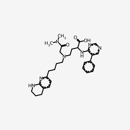 CN(C)C(=O)CN(CCCCc1ccc2c(n1)NCCC2)CCC(Nc1ncncc1-c1ccccc1)C(=O)O